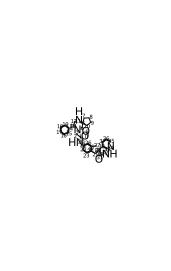 O=C(CN1C(=O)C2(CCCC2)NC[C@H]1c1ccccc1)Nc1ccc2c(c1)C[C@@]1(C2)C(=O)Nc2ncccc21